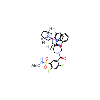 CONS(=O)(=O)c1cc(C(=O)N2CCC(CCN3[C@@H]4CC[C@H]3CC(n3c(C)nc5ccccc53)C4)(c3cccc(F)c3)CC2)c(F)cc1F